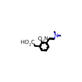 CN(C)C=Cc1cccc(CC(=O)O)c1[N+](=O)[O-]